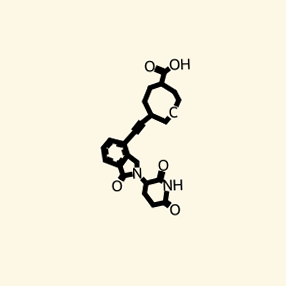 O=C1CCC(N2Cc3c(C#CC4CCCCC(C(=O)O)CC4)cccc3C2=O)C(=O)N1